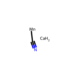 N#[C][Mn].[CaH2]